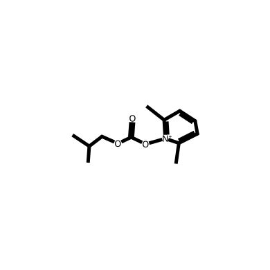 Cc1cccc(C)[n+]1OC(=O)OCC(C)C